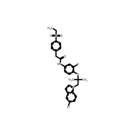 CCS(=O)(=O)c1ccc(CC(=O)Nc2ccc(OC(C)(C)Cn3ccc4cc(Cl)ccc43)c(F)c2)cc1